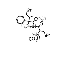 CC(C)CC(NC(=O)O)C(=O)NC(C(=O)O)C(N)(c1ccccc1)C(C)CC(C)C